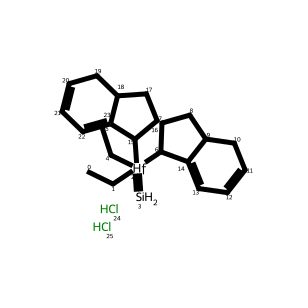 C[CH2][Hf](=[SiH2])([CH2]C)([CH]1CCC2CC=CC=C21)[CH]1CCC2CC=CC=C21.Cl.Cl